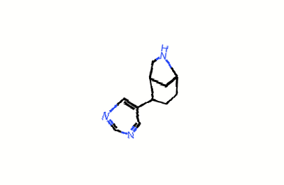 c1ncc(C2CCC3CC2CN3)cn1